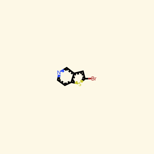 Brc1cc2cnccc2s1